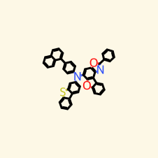 c1ccc(-c2nc3c(cc(N(c4ccc(-c5cccc6ccccc56)cc4)c4ccc5c(c4)sc4ccccc45)c4oc5ccccc5c43)o2)cc1